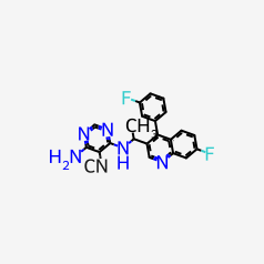 CC(Nc1ncnc(N)c1C#N)c1cnc2cc(F)ccc2c1-c1cccc(F)c1